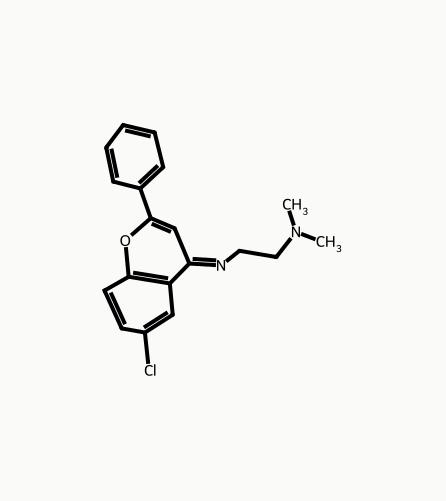 CN(C)CCN=c1cc(-c2ccccc2)oc2ccc(Cl)cc12